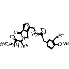 CCCC(C(=O)NC=O)N1Cc2c(csc2CNC(=O)Cc2ccc(OC)c(C(C)C)c2)C1=O